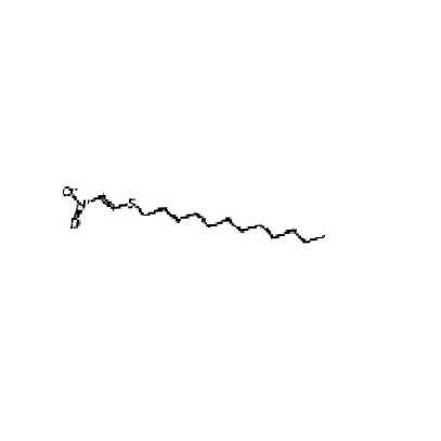 CCCCCCCCCCCCSC=C[N+](=O)[O-]